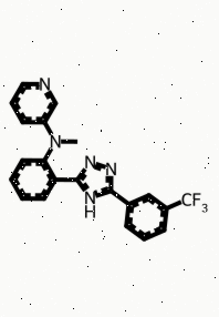 CN(c1cccnc1)c1ccccc1-c1nnc(-c2cccc(C(F)(F)F)c2)[nH]1